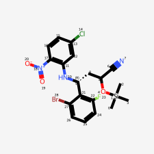 C[Si](C)(C)OC(C#N)C[C@@H](Nc1cc(Cl)ccc1[N+](=O)[O-])c1c(F)cccc1Br